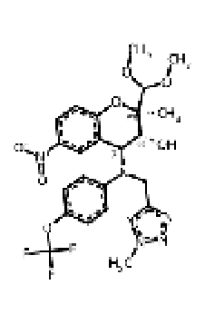 COC(OC)[C@]1(C)Oc2ccc([N+](=O)[O-])cc2[C@H](N(Cc2nnn(C)n2)c2ccc(OC(F)(F)F)cc2)[C@H]1O